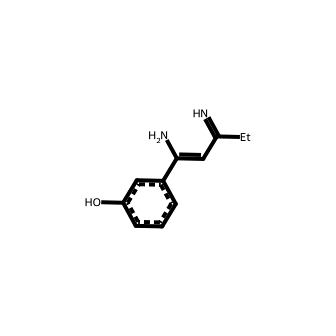 CCC(=N)/C=C(\N)c1cccc(O)c1